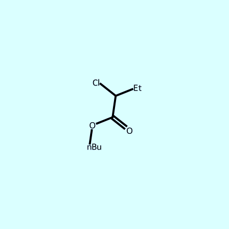 CCCCOC(=O)C(Cl)CC